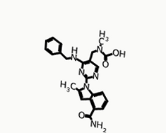 Cc1cc2c(C(N)=O)cccc2n1-c1ncc(CN(C)C(=O)O)c(NCc2ccccc2)n1